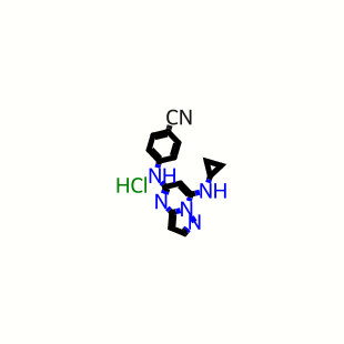 Cl.N#Cc1ccc(Nc2cc(NC3CC3)n3nccc3n2)cc1